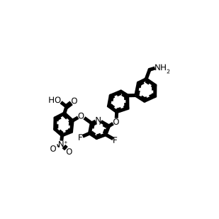 NCc1cccc(-c2cccc(Oc3nc(Oc4cc([N+](=O)[O-])ccc4C(=O)O)c(F)cc3F)c2)c1